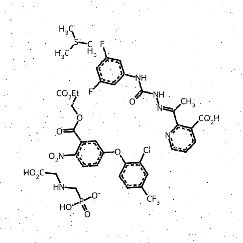 C/C(=N\NC(=O)Nc1cc(F)cc(F)c1)c1ncccc1C(=O)O.CCOC(=O)COC(=O)c1cc(Oc2ccc(C(F)(F)F)cc2Cl)ccc1[N+](=O)[O-].C[S+](C)C.O=C(O)CNCP(=O)([O-])O